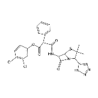 CC1(C)SC2C(NC(=O)C(C(=O)Oc3ccc(Cl)c(Cl)c3)c3ccccc3)C(=O)N2C1c1nnn[nH]1